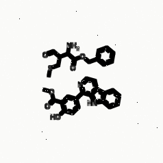 COC(=O)c1cc(-c2nccc3c2[nH]c2ccccc23)ccc1O.CSCC(C=O)C(N)C(=O)OCc1ccccc1